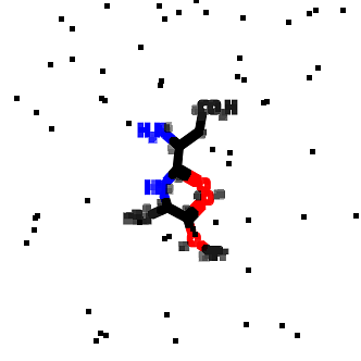 CCCCC(NC(=O)C(N)CC(=O)O)C(=O)OC(C)C